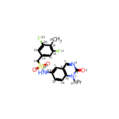 CCCn1c(=O)ncc2cc(NS(=O)(=O)Cc3cc(F)c(C)c(F)c3)ccc21